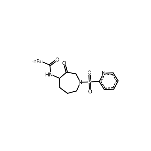 CCC[CH]C(=O)NC1CCCN(S(=O)(=O)c2ccccn2)CC1=O